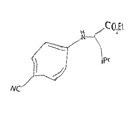 CCOC(=O)C(Nc1ccc(C#N)cc1)C(C)C